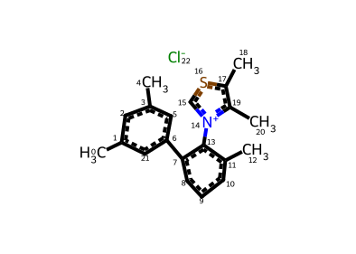 Cc1cc(C)cc(-c2cccc(C)c2-[n+]2csc(C)c2C)c1.[Cl-]